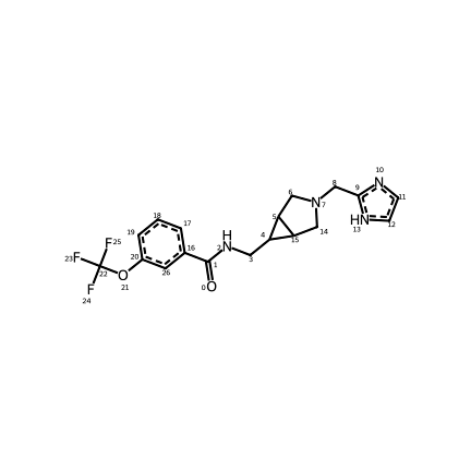 O=C(NCC1C2CN(Cc3ncc[nH]3)CC12)c1cccc(OC(F)(F)F)c1